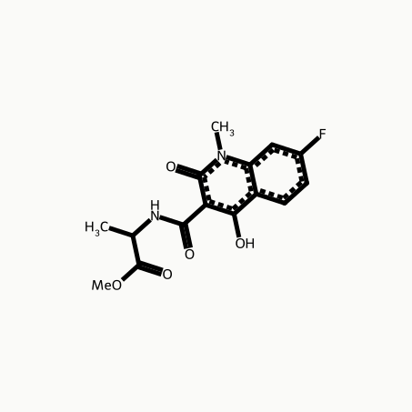 COC(=O)C(C)NC(=O)c1c(O)c2ccc(F)cc2n(C)c1=O